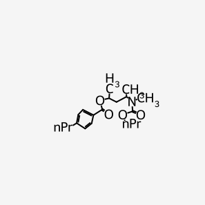 CCCOC(=O)N(C)C(C)CC(C)OC(=O)c1ccc(CCC)cc1